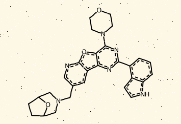 c1cc(-c2nc(N3CCOCC3)c3oc4ncc(CN5CC6CCC(C5)O6)cc4c3n2)c2cc[nH]c2c1